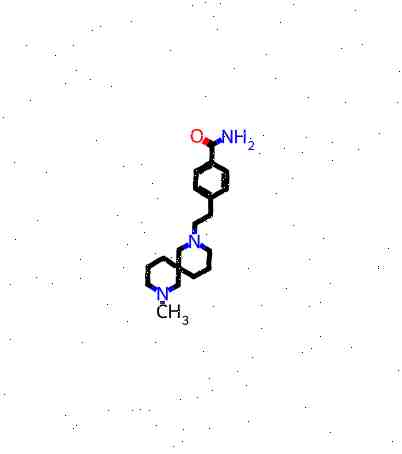 CN1CCCC2(CCCN(CCc3ccc(C(N)=O)cc3)C2)C1